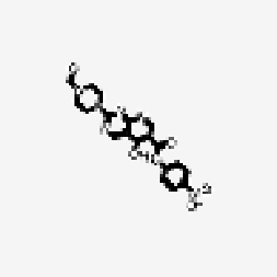 O=CN1CCN(c2ncc3c(O)c(C(=O)Oc4ccc([N+](=O)[O-])cc4)cnc3n2)CC1